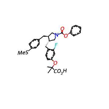 CSc1ccc(C[C@H]2CN(C(=O)Oc3ccccc3)C[C@@H]2Cc2ccc(OC(C)(C)C(=O)O)cc2F)cc1